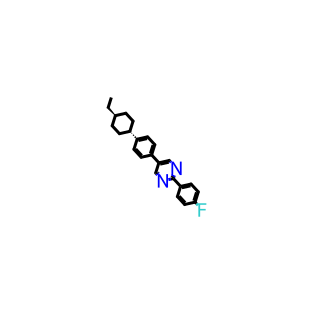 CC[C@H]1CC[C@H](c2ccc(-c3cnc(-c4ccc(F)cc4)nc3)cc2)CC1